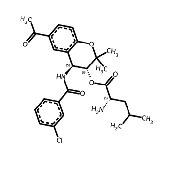 CC(=O)c1ccc2c(c1)[C@H](NC(=O)c1cccc(Cl)c1)[C@@H](OC(=O)[C@@H](N)CC(C)C)C(C)(C)O2